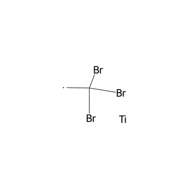 [CH2]C(Br)(Br)Br.[Ti]